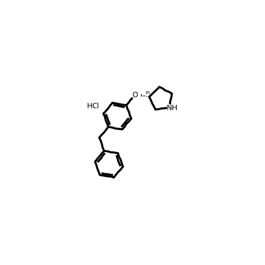 Cl.c1ccc(Cc2ccc(O[C@@H]3CCNC3)cc2)cc1